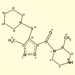 Cc1noc(C(=O)N2CCNCC2C)c1SC1CCCCC1